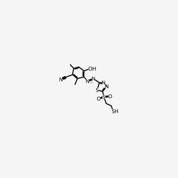 Cc1cc(O)c(/N=N/c2nnc(S(=O)(=O)CCS)s2)c(C)c1C#N